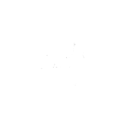 BrCc1ccccc1.O=C([O-])[O-].[K+].[K+]